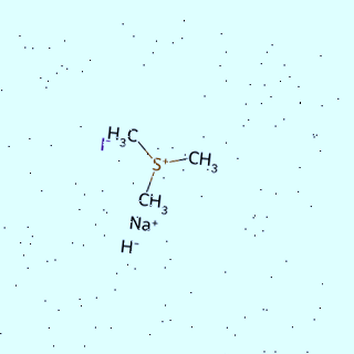 C[S+](C)C.[H-].[I-].[Na+]